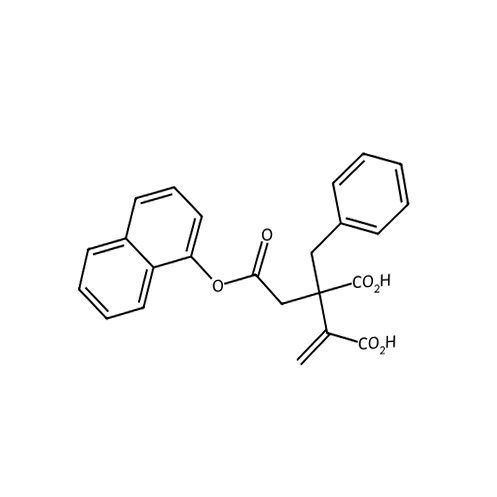 C=C(C(=O)O)C(CC(=O)Oc1cccc2ccccc12)(Cc1ccccc1)C(=O)O